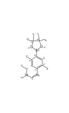 CCN(C)/C=N\c1cc(C)c(B2OC(C)(C)C(C)(C)O2)cc1C